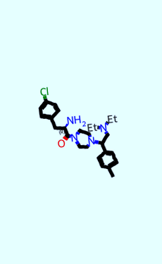 CCN(CC)CC(c1ccc(C)cc1)N1CCN(C(=O)[C@H](N)Cc2ccc(Cl)cc2)CC1